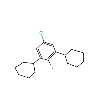 Clc1cc(C2CCCCC2)c(I)c(C2CCCCC2)c1